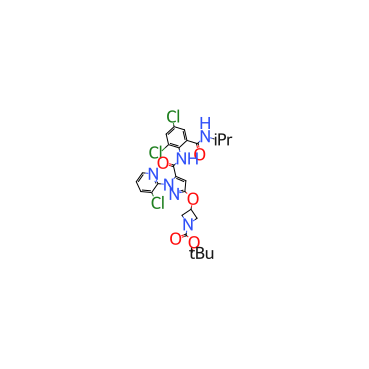 CC(C)NC(=O)c1cc(Cl)cc(Cl)c1NC(=O)c1cc(OC2CN(C(=O)OC(C)(C)C)C2)nn1-c1ncccc1Cl